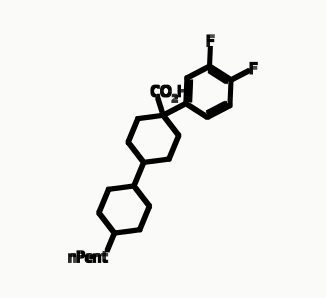 CCCCCC1CCC(C2CCC(C(=O)O)(c3ccc(F)c(F)c3)CC2)CC1